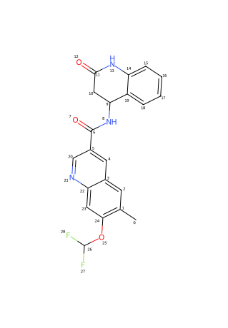 Cc1cc2cc(C(=O)NC3CC(=O)Nc4ccccc43)cnc2cc1OC(F)F